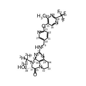 [2H]C([2H])([2H])N1c2nc(NCc3ccc(Oc4cnc(C(F)(F)F)nc4C)nc3)nc3c2N(CCC3)C(=O)[C@@H]1CO